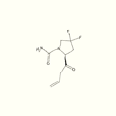 C=CCC(=O)[C@@H]1CC(F)(F)CN1C(N)=O